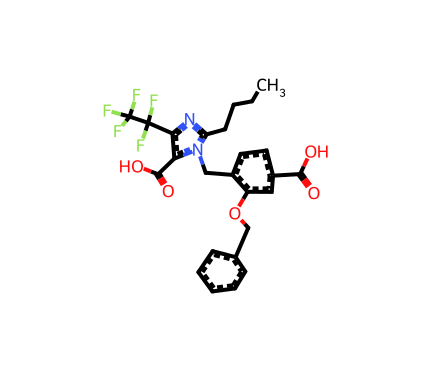 CCCCc1nc(C(F)(F)C(F)(F)F)c(C(=O)O)n1Cc1ccc(C(=O)O)cc1OCc1ccccc1